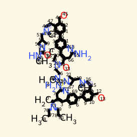 C=C(C1=Cc2ccc(-c3ccc(C=O)c(/C=C\N(C)CC4CN(SN(C)CCN(CCC)C(=O)C5=Cc6ccc(-c7ccc(C=O)c(/C=C\N(C)CC8CN(C(=O)NC)C8)c7)cc6N=C(N)C5)C4)c3)cc2N=C(N)C1)N(CCC)CCC